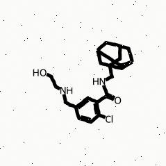 O=C(NCC12CC3CC(CC(C3)C1)C2)c1cc(CNCCO)ccc1Cl